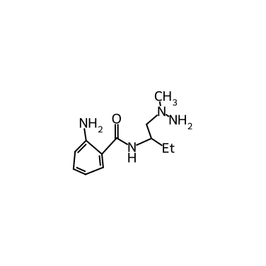 CCC(CN(C)N)NC(=O)c1ccccc1N